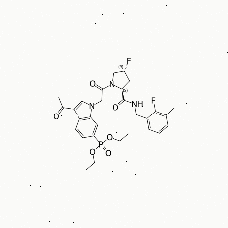 CCOP(=O)(OCC)c1ccc2c(C(C)=O)cn(CC(=O)N3C[C@H](F)C[C@H]3C(=O)NCc3cccc(C)c3F)c2c1